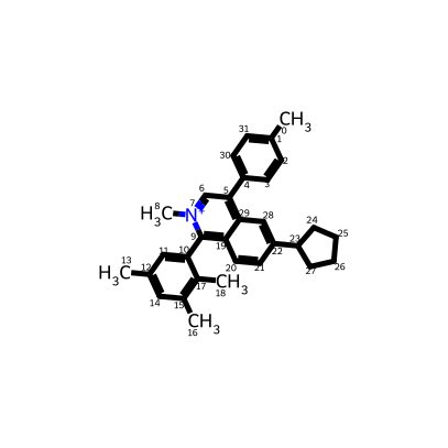 Cc1ccc(-c2c[n+](C)c(-c3cc(C)cc(C)c3C)c3ccc(C4CCCC4)cc23)cc1